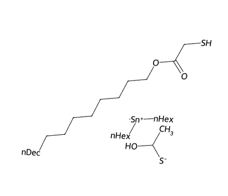 CC(O)[S-].CCCCCCCCCCCCCCCCCCOC(=O)CS.CCCCC[CH2][Sn+][CH2]CCCCC